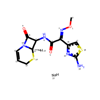 CON=C(C(=O)NC1C(=O)N2C=CCS[C@H]12)c1csc(N)n1.[NaH]